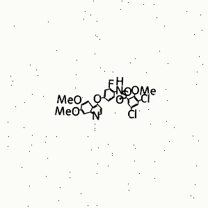 COc1cc2nccc(Oc3ccc(NS(=O)(=O)c4cc(Cl)cc(Cl)c4OC)c(F)c3)c2cc1OC